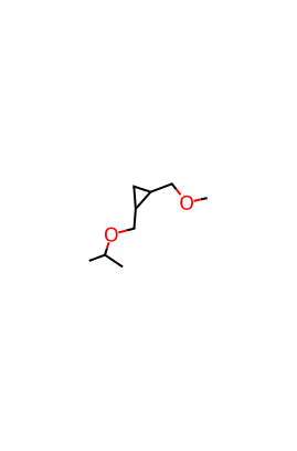 COCC1CC1COC(C)C